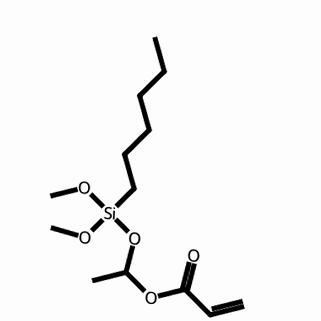 C=CC(=O)OC(C)O[Si](CCCCCC)(OC)OC